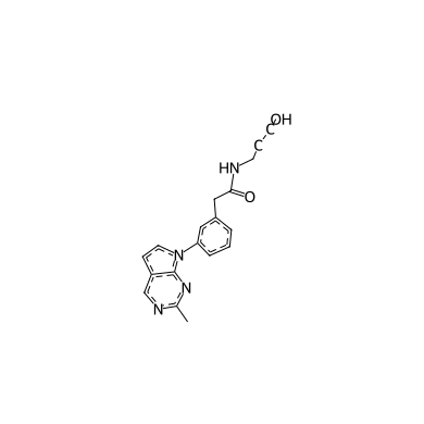 Cc1ncc2ccn(-c3cccc(CC(=O)NCCCO)c3)c2n1